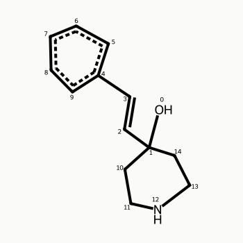 OC1(C=Cc2ccccc2)CCNCC1